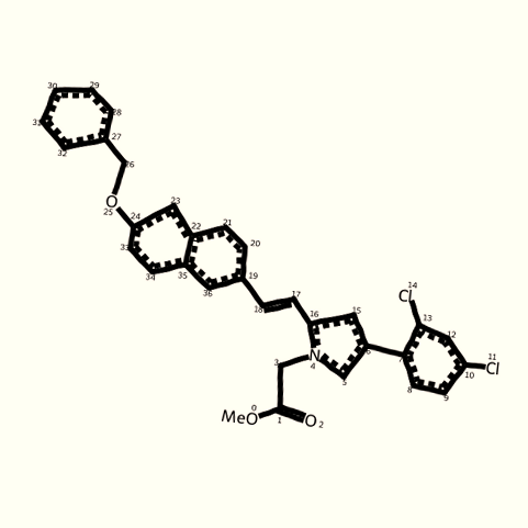 COC(=O)Cn1cc(-c2ccc(Cl)cc2Cl)cc1/C=C/c1ccc2cc(OCc3ccccc3)ccc2c1